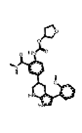 COc1ccccc1-c1c[nH]c2c1CC(c1ccc(NC(=O)OC3CCOC3)c(C(=O)N(C)C)c1)CN2